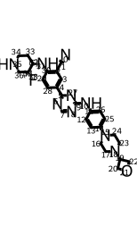 N#Cc1cc(-c2ncnc(Nc3ccc(N4CCN(C5COC5)CC4)cc3)n2)ccc1N[C@H]1CCNC[C@H]1F